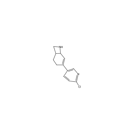 Clc1ccc(C2=CC3NCC3CC2)cn1